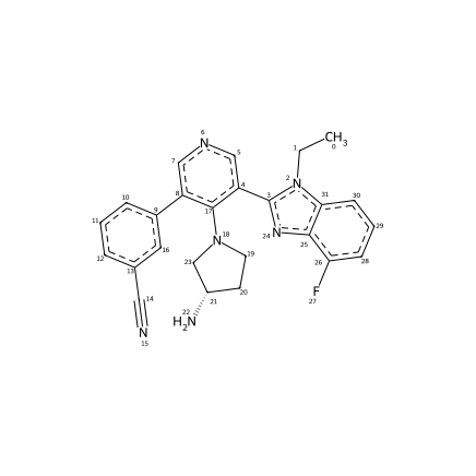 CCn1c(-c2cncc(-c3cccc(C#N)c3)c2N2CC[C@H](N)C2)nc2c(F)cccc21